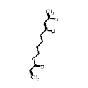 C=CC(=O)OCCCCC(Cl)=CC(=C)Cl